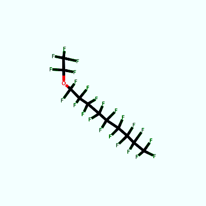 FC(F)(F)C(F)(F)OC(F)(F)C(F)(F)C(F)(F)C(F)(F)C(F)(F)C(F)(F)C(F)(F)C(F)(F)C(F)(F)F